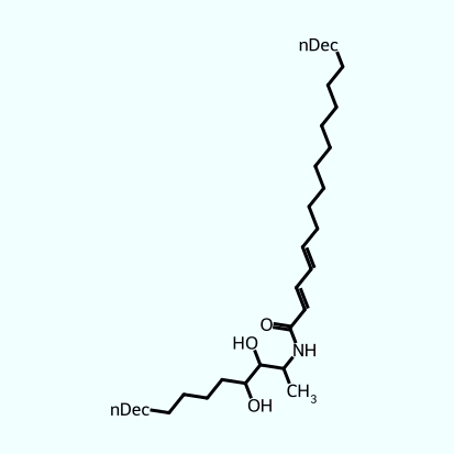 CCCCCCCCCCCCCCCCCCCC=CC=CC(=O)NC(C)C(O)C(O)CCCCCCCCCCCCCC